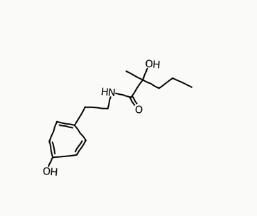 CCCC(C)(O)C(=O)NCCc1ccc(O)cc1